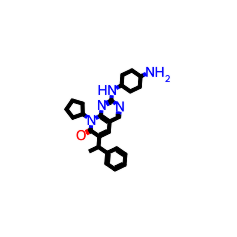 CC(c1ccccc1)c1cc2cnc(NC3CCC(N)CC3)nc2n(C2CCCC2)c1=O